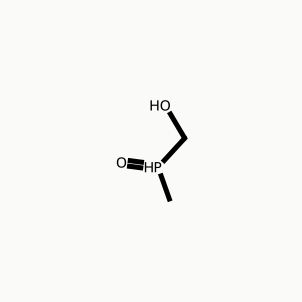 C[PH](=O)CO